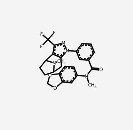 CN(C(=O)c1cccc(-n2nc(C(F)(F)F)c3c2CC2CCC3N2C)c1)c1ccc2c(c1)OCO2